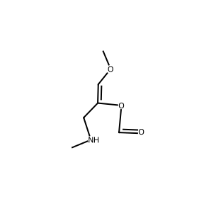 CNC/C(=C/OC)OC=O